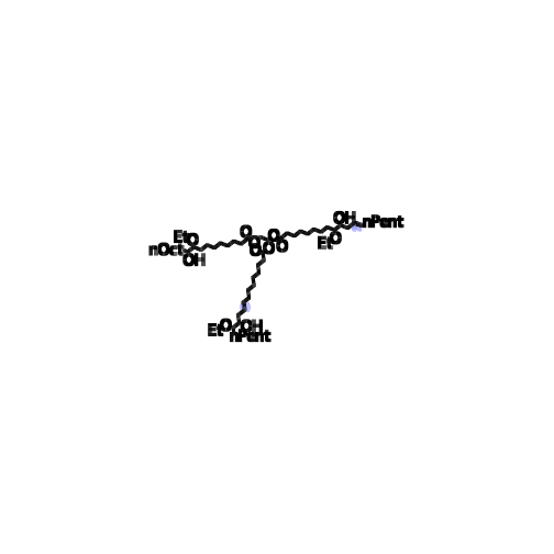 CCCCC/C=C/CC(O)C(CCCCCCCC(=O)OC(COC(=O)CCCCCCCC(OCC)C(O)CCCCCCCC)OC(=O)CCCCCCC/C=C/CC(O)C(CCCCC)OCC)OCC